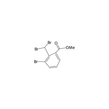 COC(=O)c1cccc(Br)c1C(Br)Br